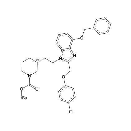 CC(C)(C)OC(=O)N1CCC[C@H](CCn2c(COc3ccc(Cl)cc3)nc3c(OCc4ccccc4)cccc32)C1